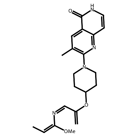 C=C(/C=N\C(=C/C)OC)OC1CCN(c2nc3cc[nH]c(=O)c3cc2C)CC1